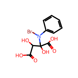 O=C(O)C(O)C(O)(C(=O)O)N(Br)c1ccccc1